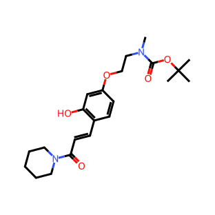 CN(CCOc1ccc(/C=C/C(=O)N2CCCCC2)c(O)c1)C(=O)OC(C)(C)C